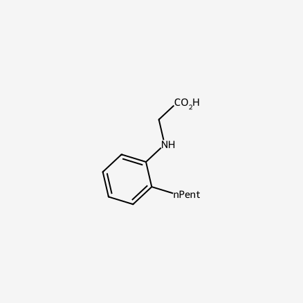 CCCCCc1ccccc1NCC(=O)O